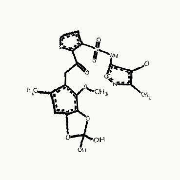 COc1c(CC(=O)c2sccc2S(=O)(=O)Nc2onc(C)c2Cl)c(C)cc2c1OC(O)(O)O2